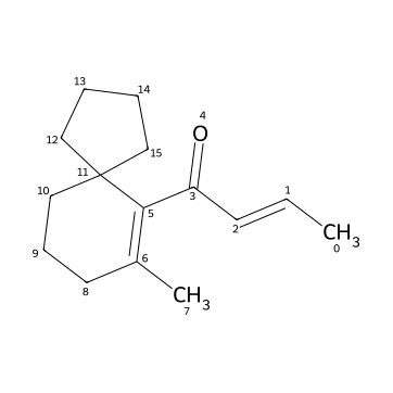 CC=CC(=O)C1=C(C)CCCC12CCCC2